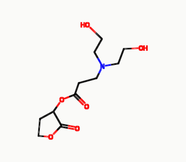 O=C(CCN(CCO)CCO)OC1CCOC1=O